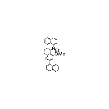 CCN(c1cccc2ccccc12)C1CCCc2nc(-c3cccc4ccccc34)cc(OC)c21